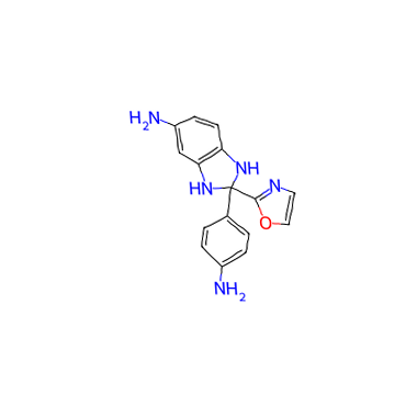 Nc1ccc(C2(c3ncco3)Nc3ccc(N)cc3N2)cc1